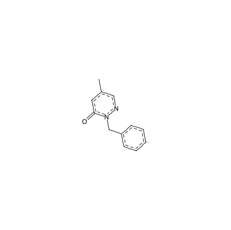 Cc1cnn(Cc2cc[c]cc2)c(=O)c1